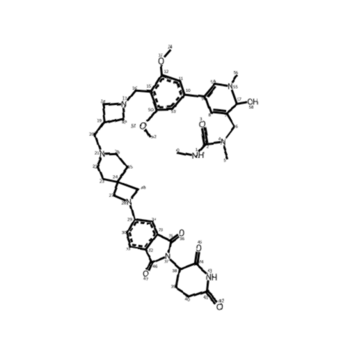 CNC(=O)N(C)CC1=CC(c2cc(OC)c(CN3CC(CN4CCC5(CC4)CN(c4ccc6c(c4)C(=O)N(C4CCC(=O)NC4=O)C6=O)C5)C3)c(OC)c2)=CN(C)C1O